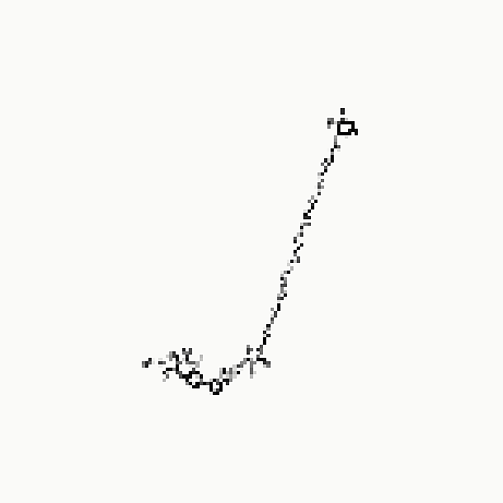 CCCN(CCC)C(=O)C1=Cc2ccc(-c3cccc(S(=O)(=O)N4CC(CN/C(=N\C)NCCOCCOCCOCCOCCOCCOCCOCCOCCOCCOCCC(=O)Oc5cc(F)c(F)c(F)c5F)C4)c3)cc2N=C(N)C1